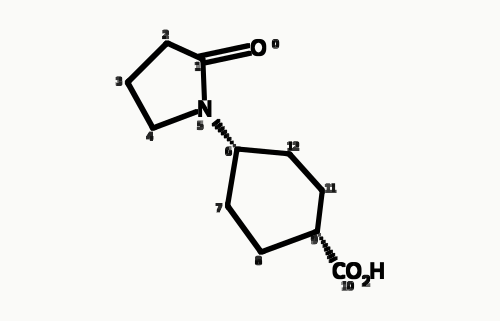 O=C1CCCN1[C@H]1CC[C@@H](C(=O)O)CC1